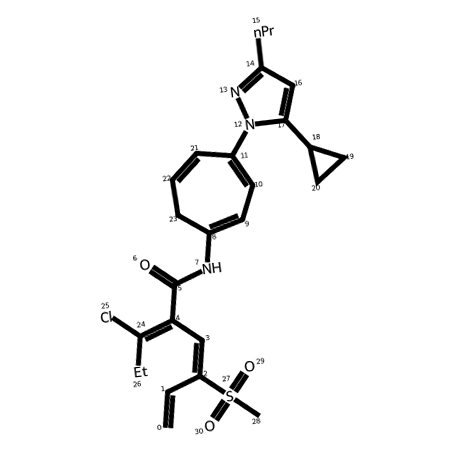 C=C/C(=C\C(C(=O)NC1=CC=C(n2nc(CCC)cc2C2CC2)C=CC1)=C(\Cl)CC)S(C)(=O)=O